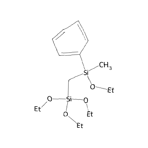 CCO[Si](C[Si](C)(OCC)c1ccccc1)(OCC)OCC